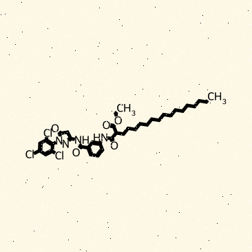 CCCCCCCCCCCCCCCCC(C(=O)Nc1cccc(C(=O)NC2=NN(c3c(Cl)cc(Cl)cc3Cl)C(=O)C2)c1)C(=O)OCC